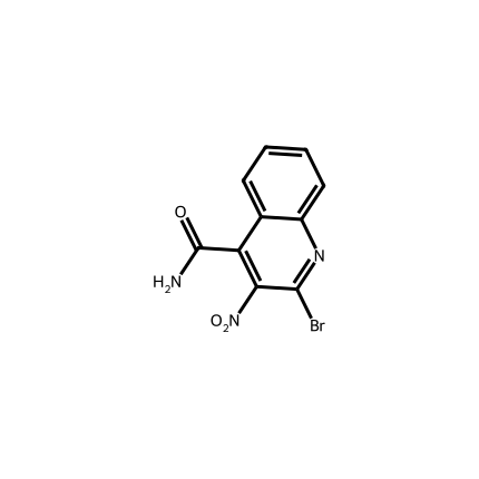 NC(=O)c1c([N+](=O)[O-])c(Br)nc2ccccc12